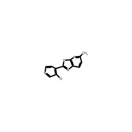 Cc1ccc2nc(-c3ccncc3Cl)oc2n1